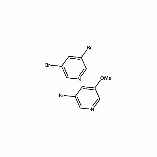 Brc1cncc(Br)c1.COc1cncc(Br)c1